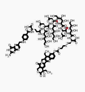 CCc1c2c(nc3ccc(OC(=O)OCCSSC[C@@H](NC(=O)[C@@H](NC(=O)[C@H](CC(=O)O)NC(=O)[C@@H](NC(=O)[C@H](CC(=O)O)NC(=O)[C@@H](NC(=O)[C@H](CC(=O)O)NC(=O)[C@@H](NC(=O)CC[C@H](NC(=O)c4ccc(NCc5cnc6nc(N)[nH]c(=O)c6n5)cc4)C(=O)O)[C@@H](O)[C@H](O)[C@H](O)CO)[C@@H](O)[C@H](O)[C@H](O)CO)[C@@H](O)[C@H](O)[C@H](O)CO)[C@@H](O)[C@H](O)[C@H](O)CO)C(=O)O)cc13)-c1cc3c(c(=O)n1C2)COC(=O)[C@]3(O)CC